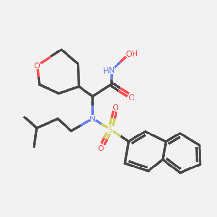 CC(C)CCN(C(C(=O)NO)C1CCOCC1)S(=O)(=O)c1ccc2ccccc2c1